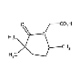 CC1CCC(C)(C)C(=O)N1CC(=O)O